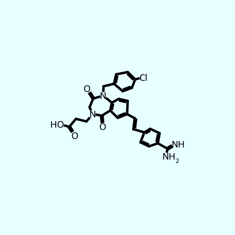 N=C(N)c1ccc(C=Cc2ccc3c(c2)C(=O)N(CCC(=O)O)CC(=O)N3Cc2ccc(Cl)cc2)cc1